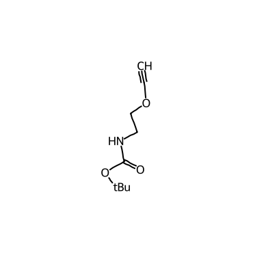 C#COCCNC(=O)OC(C)(C)C